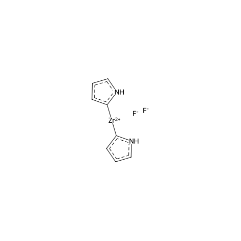 [F-].[F-].c1c[nH][c]([Zr+2][c]2ccc[nH]2)c1